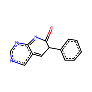 O=C1N=c2ncncc2=CC1c1ccccc1